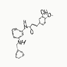 COc1ccc(C=CC(=O)Nc2cccc(NCc3ccccc3)c2)cc1O